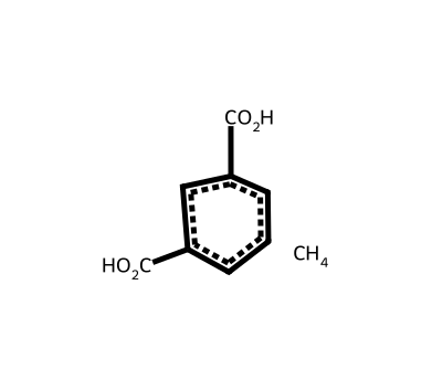 C.O=C(O)c1cccc(C(=O)O)c1